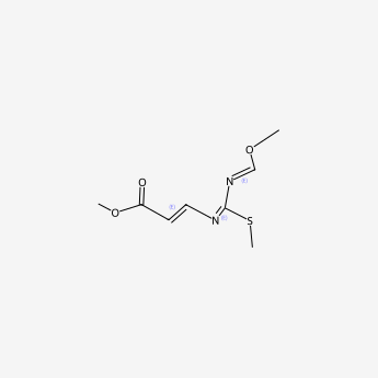 CO/C=N/C(=N\C=C\C(=O)OC)SC